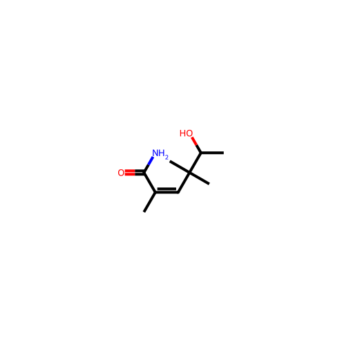 CC(=CC(C)(C)C(C)O)C(N)=O